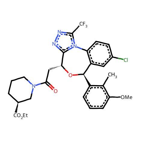 CCOC(=O)[C@H]1CCCN(C(=O)C[C@H]2O[C@H](c3cccc(OC)c3C)c3cc(Cl)ccc3-n3c2nnc3C(F)(F)F)C1